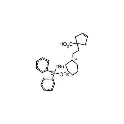 CC(C)(C)[Si](O[C@H]1CCC[C@@H](CCC2(C(=O)O)CC=CC2)C1)(c1ccccc1)c1ccccc1